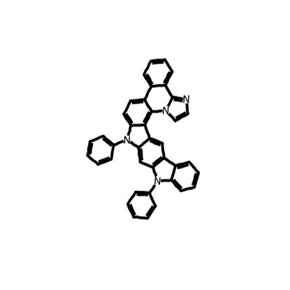 c1ccc(-n2c3ccccc3c3cc4c5c(ccc6c7ccccc7c7nccn7c65)n(-c5ccccc5)c4cc32)cc1